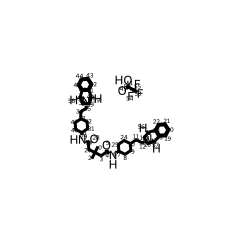 CC(C)(CC(=O)NC1CCC(CCN2[C@@H]3CC[C@H]2c2ccccc23)CC1)CC(=O)NC1CCC(CCN2[C@@H]3CC[C@H]2c2ccccc23)CC1.O=C(O)C(F)(F)F